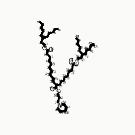 CCCCCC(CCCCC)CCOC(=O)CCCCCCCCCC(CCCCCCCC(=O)OCCC(CCCCC)CCCCC)C(=O)OCCCN1CCCCC1